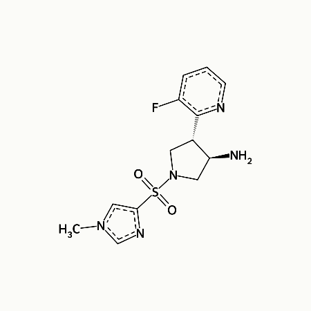 Cn1cnc(S(=O)(=O)N2C[C@H](c3ncccc3F)[C@@H](N)C2)c1